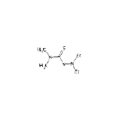 CCN(CC)SC(=S)N(C)C